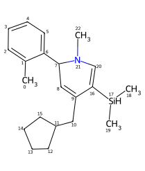 Cc1ccccc1C1C=C(CC2CCCC2)C([SiH](C)C)=CN1C